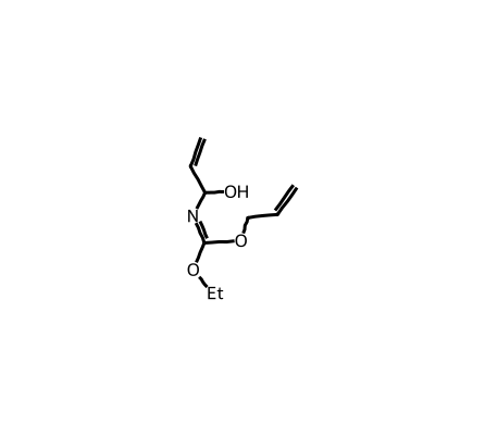 C=CCOC(=NC(O)C=C)OCC